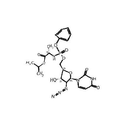 CC(C)OC(=O)[C@H](C)NP(=O)(OC[C@H]1O[C@@H](n2ccc(=O)[nH]c2=O)C(N=[N+]=[N-])[C@@H]1O)Oc1ccccc1